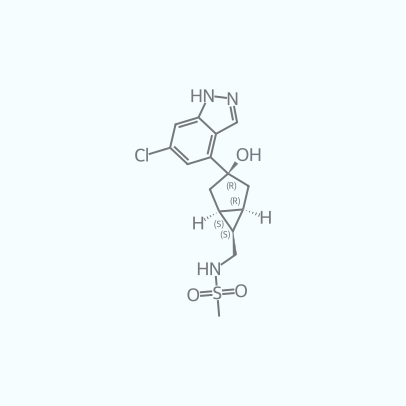 CS(=O)(=O)NC[C@H]1[C@H]2C[C@](O)(c3cc(Cl)cc4[nH]ncc34)C[C@@H]12